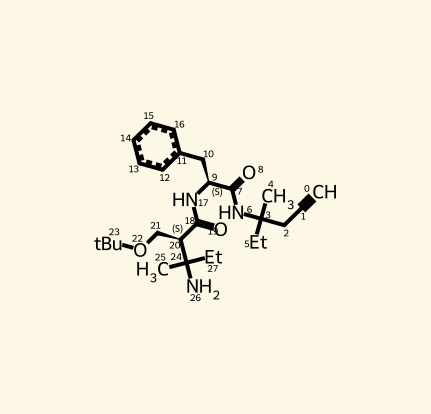 C#CCC(C)(CC)NC(=O)[C@H](Cc1ccccc1)NC(=O)[C@H](COC(C)(C)C)C(C)(N)CC